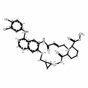 COC(=O)C1CCCC(C(=O)OC)N1CC=CC(=O)Nc1cc2c(Nc3ccc(F)c(Cl)c3)ncnc2cc1OCC1CC1